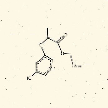 CCCCCCCCCCOC(=O)C(C)Oc1cccc(O)c1